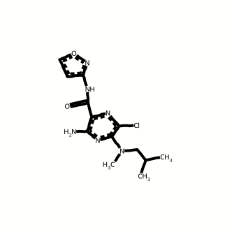 CC(C)CN(C)c1nc(N)c(C(=O)Nc2ccon2)nc1Cl